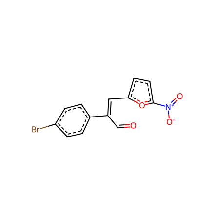 O=C/C(=C\c1ccc([N+](=O)[O-])o1)c1ccc(Br)cc1